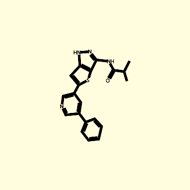 CC(C)C(=O)Nc1n[nH]c2cc(-c3cncc(-c4ccccc4)c3)sc12